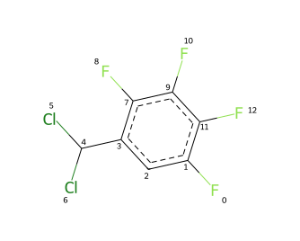 Fc1cc(C(Cl)Cl)c(F)c(F)c1F